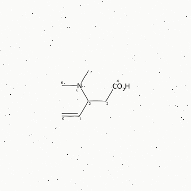 C=CC(CC(=O)O)N(C)C